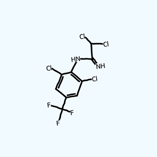 N=C(Nc1c(Cl)cc(C(F)(F)F)cc1Cl)C(Cl)Cl